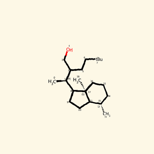 C[C@@H](C(CO)CCC(C)(C)C)C1CCC2[C@@H](C)CCC[C@]12C